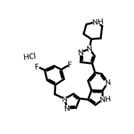 Cl.Fc1cc(F)cc(Cn2cc(-c3c[nH]c4ncc(-c5cnn(C6CCNCC6)c5)cc34)cn2)c1